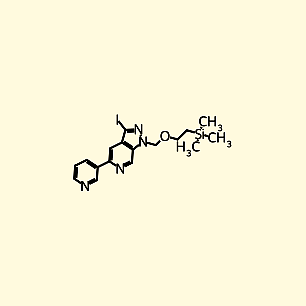 C[Si](C)(C)CCOCn1nc(I)c2cc(-c3cccnc3)ncc21